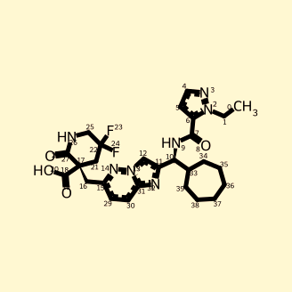 CCn1nccc1C(=O)N[C@H](c1cn2nc(C[C@]3(C(=O)O)CC(F)(F)CNC3=O)ccc2n1)C1CCCCCC1